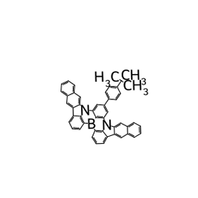 CC(C)(C)c1ccc(-c2cc3c4c(c2)-n2c5cc6ccccc6cc5c5cccc(c52)B4c2cccc4c5cc6ccccc6cc5n-3c24)cc1